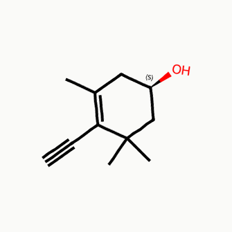 C#CC1=C(C)C[C@@H](O)CC1(C)C